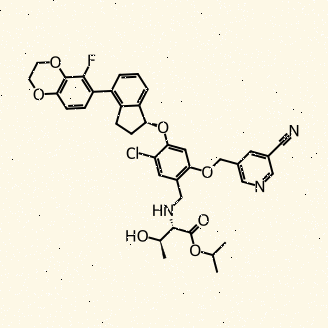 CC(C)OC(=O)[C@@H](NCc1cc(Cl)c(O[C@H]2CCc3c(-c4ccc5c(c4F)OCCO5)cccc32)cc1OCc1cncc(C#N)c1)[C@@H](C)O